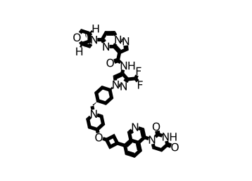 O=C1CCN(c2cncc3c(C4CC(OC5CCN(C[C@H]6CC[C@H](n7cc(NC(=O)c8cnn9ccc(N%10C[C@H]%11C[C@@H]%10CO%11)nc89)c(C(F)F)n7)CC6)CC5)C4)cccc23)C(=O)N1